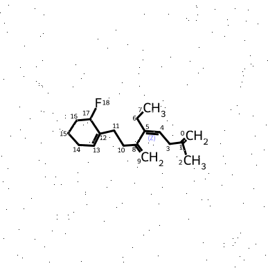 C=C(C)C/C=C(/CC)C(=C)CCC1=CCCCC1F